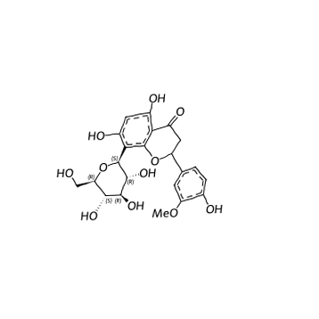 COc1cc(C2CC(=O)c3c(O)cc(O)c([C@@H]4O[C@H](CO)[C@@H](O)[C@H](O)[C@H]4O)c3O2)ccc1O